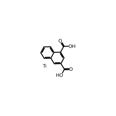 O=C(O)c1cc(C(=O)O)c2ccccc2c1.[Ti]